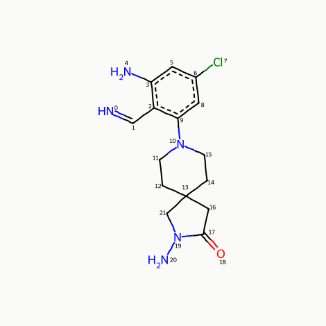 N=Cc1c(N)cc(Cl)cc1N1CCC2(CC1)CC(=O)N(N)C2